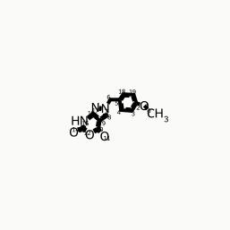 COc1ccc(Cn2cc3c(=O)oc(=O)[nH]c3n2)cc1